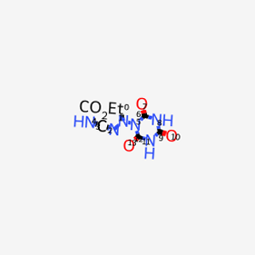 CCOC(=O)N(N=C=N)n1c(=O)[nH]c(=O)[nH]c1=O